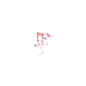 CCCCCCS(=O)(=O)NCCCCNCc1c(O)cc2c(c1O)-c1cc(ccc1O)[C@H]1CC(=O)[C@@H]3NC(=O)[C@H](CC(=O)NC(=O)CC4CC4)CC(=O)[C@H](NC(=O)[C@H](CC)CC(C)C)[C@H](O)c4ccc(c(Cl)c4)Oc4cc3cc(c4O[C@@H]3O[C@H](CO)[C@@H](O)[C@H](O)[C@H]3O[C@H]3C[C@](C)(N)[C@H](O)[C@H](C)O3)O[C@@H]3CC=C(C=C3Cl)[C@@H](O)[C@H](NC1=O)C(=O)N[C@@H]2C(=O)CC1C2CC3CC(C2)CC1C3